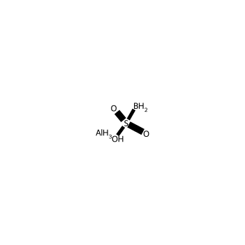 BS(=O)(=O)O.[AlH3]